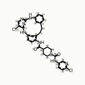 O=C(Nc1ccc2cc1CCc1cccc(c1)Nc1ncc(Cl)c(n1)N2)C1CCN(C(=O)Nc2ccc(Cl)nc2)CC1